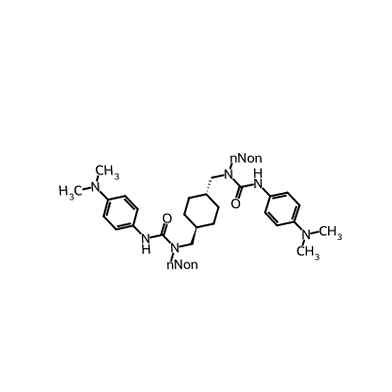 CCCCCCCCCN(C[C@H]1CC[C@H](CN(CCCCCCCCC)C(=O)Nc2ccc(N(C)C)cc2)CC1)C(=O)Nc1ccc(N(C)C)cc1